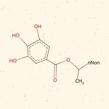 CCCCCCCCCC(C)OC(=O)c1cc(O)c(O)c(O)c1